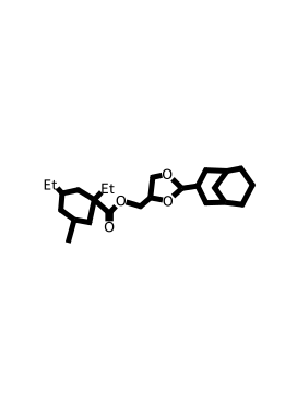 CCC1CC(C)CC(CC)(C(=O)OCC2COC(C3CC4CCCC(C4)C3)O2)C1